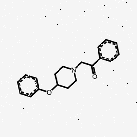 O=C(CN1CCC(Oc2ccccc2)CC1)c1ccccc1